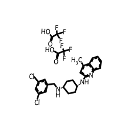 Cc1cc(N[C@H]2CC[C@@H](NCc3cc(Cl)cc(Cl)c3)CC2)nc2ccccc12.O=C(O)C(F)(F)F.O=C(O)C(F)(F)F